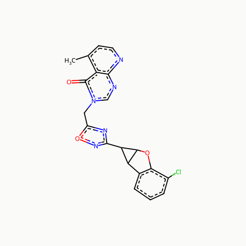 Cc1ccnc2ncn(Cc3nc(C4C5Oc6c(Cl)cccc6C54)no3)c(=O)c12